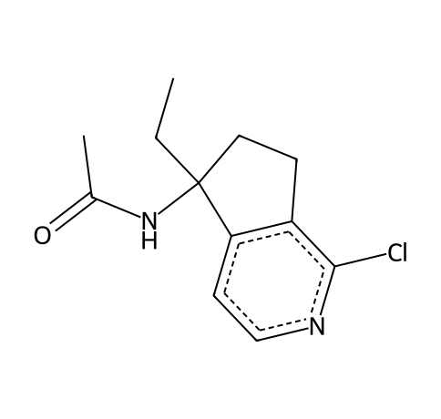 CCC1(NC(C)=O)CCc2c1ccnc2Cl